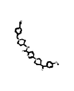 COc1ccc(C(=O)C2CCN(c3ccc(C(=O)NC4CCN(Cc5ccc(C#N)cc5)CC4)nc3)CC2)cc1